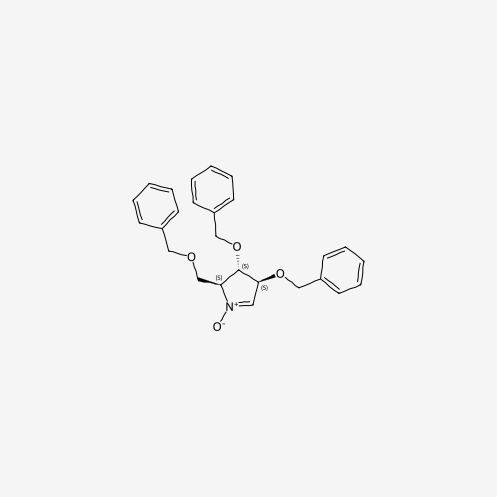 [O-][N+]1=C[C@H](OCc2ccccc2)[C@@H](OCc2ccccc2)[C@@H]1COCc1ccccc1